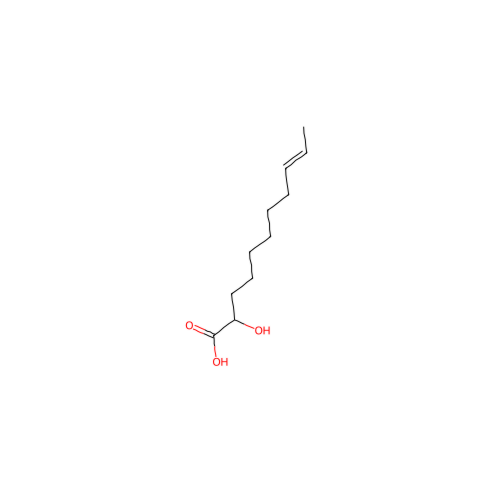 CC=CCCCCCCC(O)C(=O)O